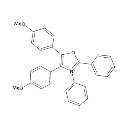 COc1ccc(-c2oc(-c3ccccc3)[n+](-c3ccccc3)c2-c2ccc(OC)cc2)cc1